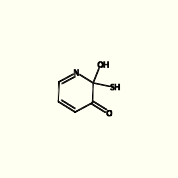 O=C1C=CC=NC1(O)S